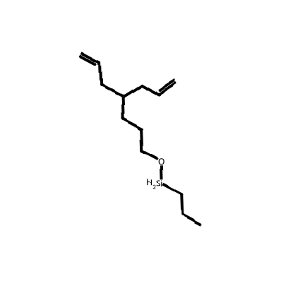 C=CCC(CC=C)CCCO[SiH2]CCC